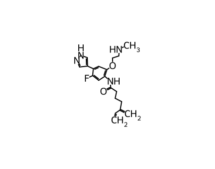 C=CC(=C)CCCC(=O)Nc1cc(F)c(-c2cn[nH]c2)cc1OCCNC